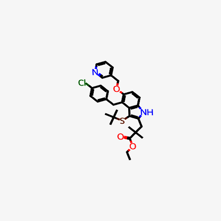 CCOC(=O)C(C)(C)Cc1[nH]c2ccc(OCc3cccnc3)c(Cc3ccc(Cl)cc3)c2c1SC(C)(C)C